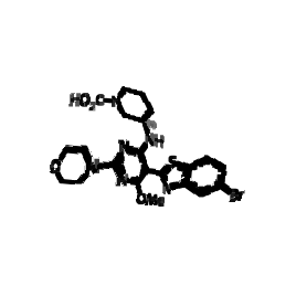 COc1nc(N2CCOCC2)nc(N[C@@H]2CCCN(C(=O)O)C2)c1-c1nc2cc(Br)ccc2s1